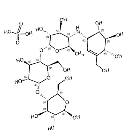 C[C@H]1O[C@H](O[C@H]2[C@H](O)[C@@H](O)[C@@H](O[C@H]3[C@H](O)[C@@H](O)[C@H](O)O[C@@H]3CO)O[C@@H]2CO)[C@H](O)[C@@H](O)[C@@H]1N[C@H]1C=C(CO)[C@@H](O)[C@H](O)[C@H]1O.O=S(=O)(O)O